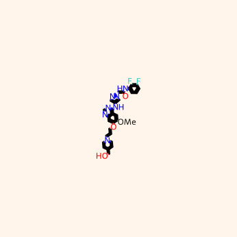 COc1cc2c(Nc3cnn(CC(=O)Nc4cccc(F)c4F)c3)ncnc2cc1OCCCN1CCC(CO)CC1